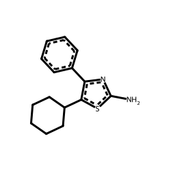 Nc1nc(-c2ccccc2)c(C2CCCCC2)s1